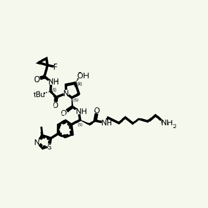 Cc1ncsc1-c1ccc([C@H](CC(=O)NCCCCCCCN)NC(=O)[C@@H]2C[C@@H](O)CN2C(=O)[C@@H](NC(=O)C2(F)CC2)C(C)(C)C)cc1